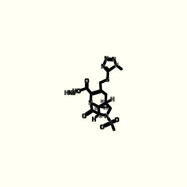 Cn1nnnc1SCC1=C(C(=O)O)N2C(=O)[C@@H]3[C@H]2[C@H](C1)CN3S(C)(=O)=O.[NaH]